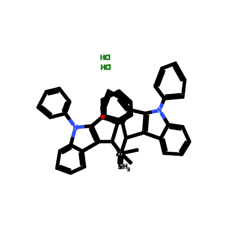 Cl.Cl.[CH3][Zr]([CH3])(=[SiH2])([CH]1c2ccccc2-c2c1c1ccccc1n2-c1ccccc1)[CH]1c2ccccc2-c2c1c1ccccc1n2-c1ccccc1